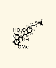 COc1ccc2nccc([C@H](O)CC[C@@H]3CCN(CCSC4CC4)C[C@@H]3C(=O)O)c2c1